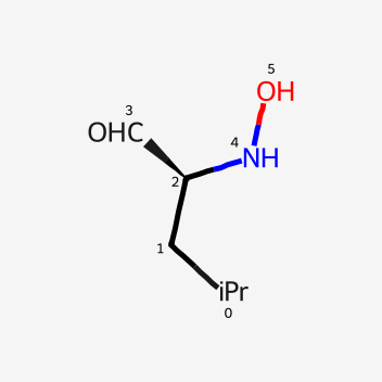 CC(C)C[C@@H](C=O)NO